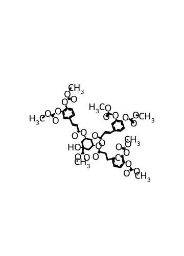 COC(=O)Oc1ccc(/C=C/C(=O)O[C@@H]2[C@H](OC(=O)/C=C/c3ccc(OC(=O)OC)c(OC(=O)OC)c3)C[C@@](O)(C(=O)OC)C[C@H]2OC(=O)CCc2ccc(OC(=O)OC)c(OC(=O)OC)c2)cc1OC(=O)OC